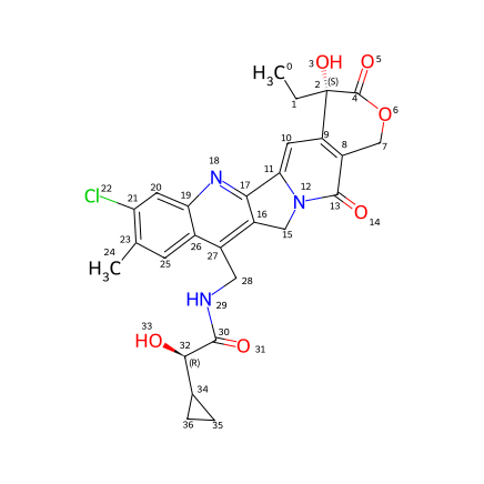 CC[C@@]1(O)C(=O)OCc2c1cc1n(c2=O)Cc2c-1nc1cc(Cl)c(C)cc1c2CNC(=O)[C@H](O)C1CC1